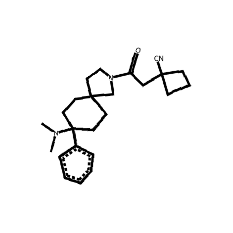 CN(C)C1(c2ccccc2)CCC2(CCN(C(=O)CC3(C#N)CCC3)C2)CC1